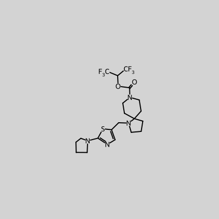 O=C(OC(C(F)(F)F)C(F)(F)F)N1CCC2(CCCN2Cc2cnc(N3CCCC3)s2)CC1